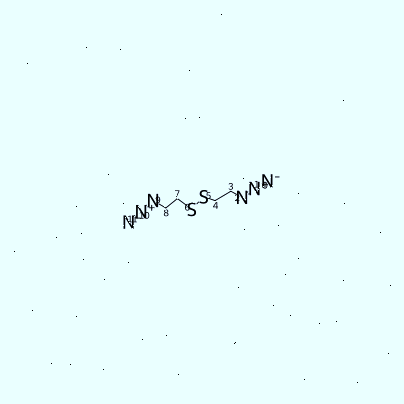 [N-]=[N+]=NCCSSCCN=[N+]=[N-]